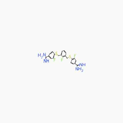 N=C(N)c1ccc(SCc2cccc(CSc3ccc(C(=N)N)cc3F)c2F)c(F)c1